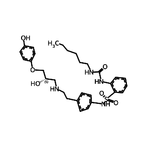 CCCCCCNC(=O)Nc1ccccc1S(=O)(=O)Nc1ccc(CCNC[C@H](O)COc2ccc(O)cc2)cc1